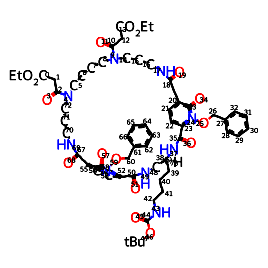 CCOC(=O)CC(=O)N1CCCCN(C(=O)CC(=O)OCC)CCCNC(=O)c2ccc(n(OCc3ccccc3)c2=O)C(=O)N[C@@H](CCCCNC(=O)OC(C)(C)C)CNC(=O)c2ccc(c(=O)n2OCc2ccccc2)C(=O)NCCC1